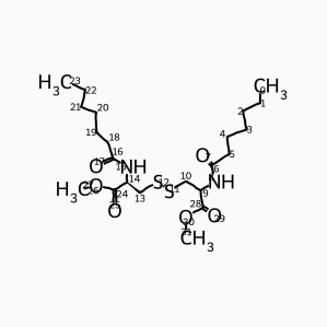 CCCCCCC(=O)NC(CSSC[C@H](NC(=O)CCCCCC)C(=O)OC)C(=O)OC